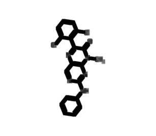 Cn1c(=O)c(-c2c(Cl)cccc2Cl)nc2cnc(Nc3ccccc3)nc21